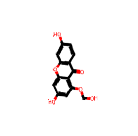 O=c1c2ccc(O)cc2oc2cc(O)cc(OCO)c12